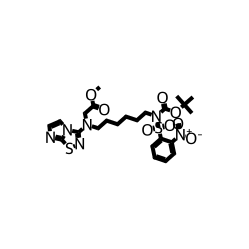 COC(=O)CN(CCCCCCN(C(=O)OC(C)(C)C)S(=O)(=O)c1ccccc1[N+](=O)[O-])c1nsc2nccn12